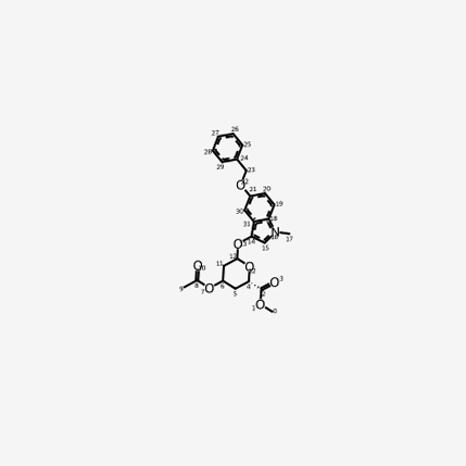 COC(=O)[C@@H]1CC(OC(C)=O)CC(Oc2cn(C)c3ccc(OCc4ccccc4)cc23)O1